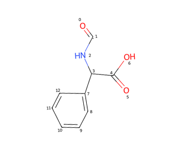 O=[C]NC(C(=O)O)c1ccccc1